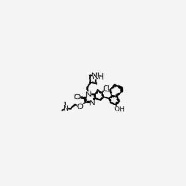 CN(C)CCOc1nc2cc(-c3cc(O)cc4ccccc34)c(Cl)cc2n(CC2CNC2)c1=O